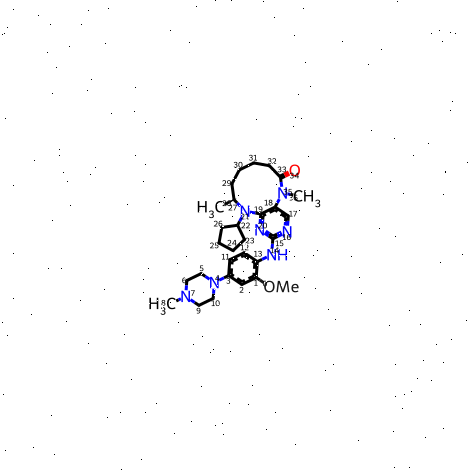 COc1cc(N2CCN(C)CC2)ccc1Nc1ncc2c(n1)N(C1CCCC1)[C@@H](C)CCCCC(=O)N2C